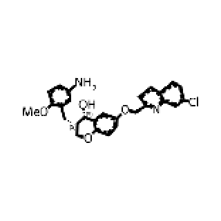 COc1ccc(N)cc1C[C@H]1COc2ccc(OCc3ccc4ccc(Cl)cc4n3)cc2[C@H]1O